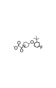 COC(=O)C(=O)N1CCC(Oc2ccc(F)cc2C(C)(C)C)CC1